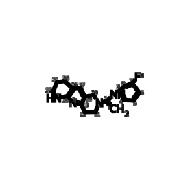 C=C(Nc1cccc(F)c1)N1CCc2nc3c(cc2C1)CCCN3